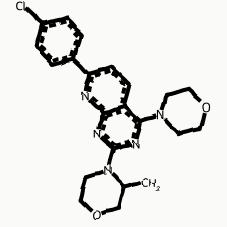 CC1COCCN1c1nc(N2CCOCC2)c2ccc(-c3ccc(Cl)cc3)nc2n1